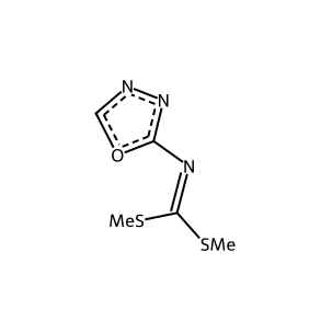 CSC(=Nc1nnco1)SC